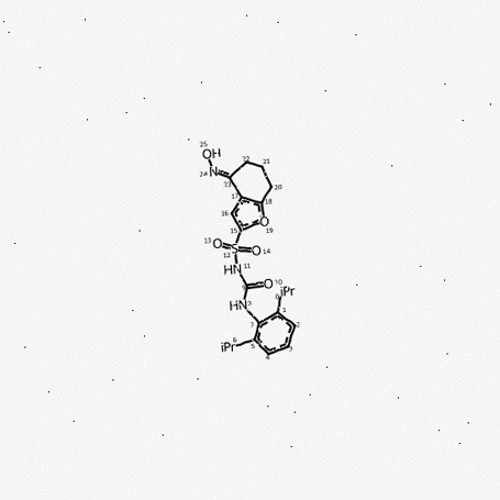 CC(C)c1cccc(C(C)C)c1NC(=O)NS(=O)(=O)c1cc2c(o1)CCCC2=NO